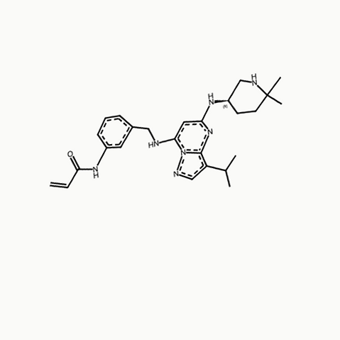 C=CC(=O)Nc1cccc(CNc2cc(N[C@@H]3CCC(C)(C)NC3)nc3c(C(C)C)cnn23)c1